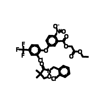 CC1(C)CON(Cc2ccccc2Cl)C1=O.CCOC(=O)COC(=O)c1cc(Oc2ccc(C(F)(F)F)cc2Cl)ccc1[N+](=O)[O-]